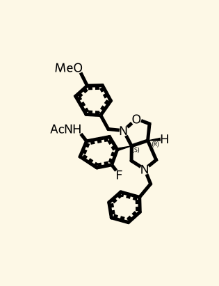 COc1ccc(CN2OC[C@@H]3CN(Cc4ccccc4)C[C@@]32c2cc(NC(C)=O)ccc2F)cc1